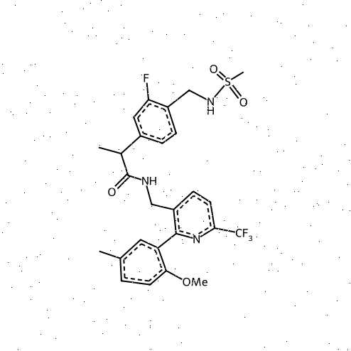 COc1ccc(C)cc1-c1nc(C(F)(F)F)ccc1CNC(=O)C(C)c1ccc(CNS(C)(=O)=O)c(F)c1